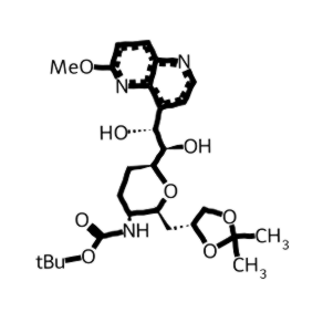 COc1ccc2nccc([C@@H](O)[C@@H](O)[C@@H]3CC[C@@H](NC(=O)OC(C)(C)C)[C@H](C[C@@H]4COC(C)(C)O4)O3)c2n1